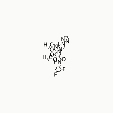 CCN1C(=O)c2c(OC)c(=O)c(C(=O)NCc3ccc(F)cc3F)cn2N2CCN(c3ncccn3)C[C@@H]12